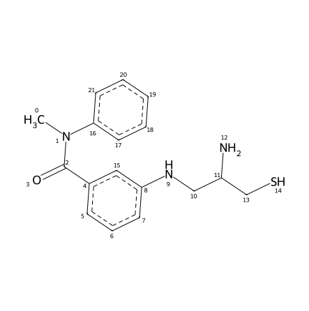 CN(C(=O)c1cccc(NCC(N)CS)c1)c1ccccc1